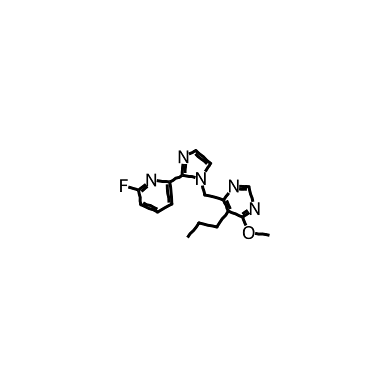 CCCc1c(Cn2ccnc2-c2cccc(F)n2)ncnc1OC